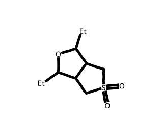 CCC1OC(CC)C2CS(=O)(=O)CC12